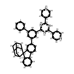 c1ccc(-c2cc(-c3ccc4c(c3)C3(c5ccccc5-4)C4CC5CC(C4)CC3C5)cc(-c3nc(-c4ccncc4)nc(-c4ccncc4)n3)c2)cc1